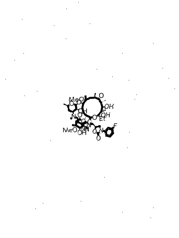 CC[C@H]1OC(=O)[C@H](C)[C@@H](O[C@H]2C[C@@](C)(OC)[C@@H](O)[C@H](C)O2)[C@H](C)[C@@H](O[C@@H]2O[C@H](C)C[C@H](N(C)CCc3cn(C[C@H]4CN(c5cccc(F)c5)C(=O)O4)nn3)[C@H]2O)[C@](C)(OC)C[C@@H](C)C(=O)[C@H](C)[C@@H](O)[C@]1(C)O